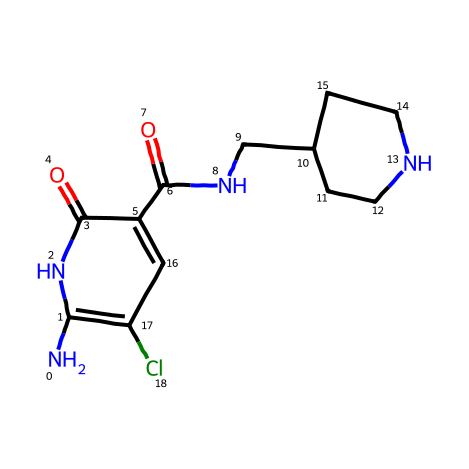 Nc1[nH]c(=O)c(C(=O)NCC2CCNCC2)cc1Cl